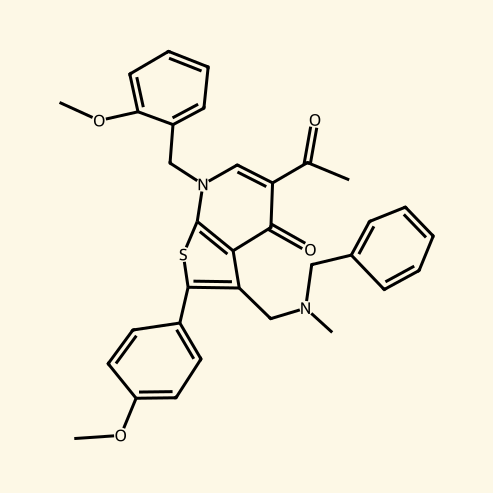 COc1ccc(-c2sc3c(c2CN(C)Cc2ccccc2)c(=O)c(C(C)=O)cn3Cc2ccccc2OC)cc1